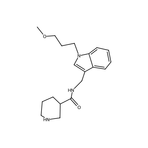 COCCCn1cc(CNC(=O)C2CCCNC2)c2ccccc21